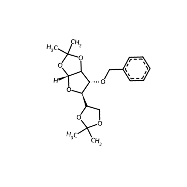 CC1(C)OCC([C@H]2O[C@@H]3OC(C)(C)OC3[C@@H]2OCc2ccccc2)O1